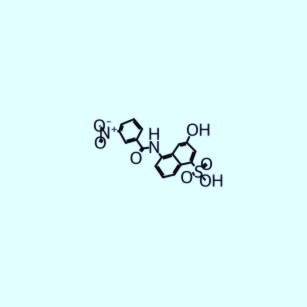 O=C(Nc1cccc2c(S(=O)(=O)O)cc(O)cc12)c1cccc([N+](=O)[O-])c1